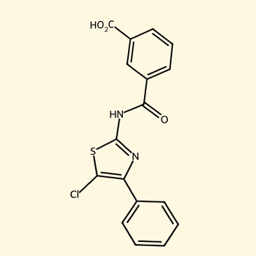 O=C(O)c1cccc(C(=O)Nc2nc(-c3ccccc3)c(Cl)s2)c1